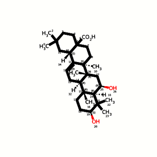 CC1(C)CCC2(C(=O)O)CC[C@]3(C)C(=CC[C@@H]4[C@@]5(C)CC[C@H](O)C(C)(C)[C@@H]5[C@H](O)C[C@]43C)[C@@H]2C1